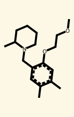 COCCOc1cc(C)c(C)cc1CN1CCCCC1C